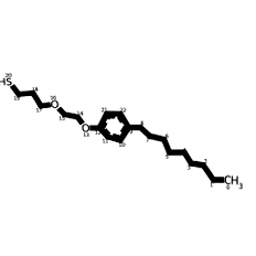 CCCCCCCCCc1ccc(OCCOCCCS)cc1